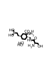 Cl.Cl.N[C@@H](CO)C(=O)NC[C@@H]1CC[C@@H](CCB(O)O)C[C@]1(N)C(=O)O